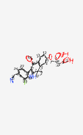 CC1(C)c2cc(OC[C@H](O)CO)ccc2C(=O)c2c1[nH]c1c(F)c(C#N)ccc21